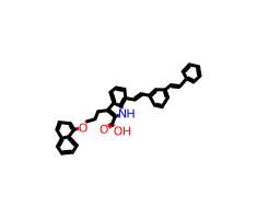 O=C(O)c1[nH]c2c(C=Cc3cccc(/C=C/c4ccccc4)c3)cccc2c1CCCOc1cccc2ccccc12